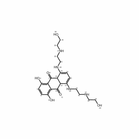 O=C1c2c(O)ccc(O)c2C(=O)C2C(NCCNCCO)=CC=C(NCCNCCO)C12